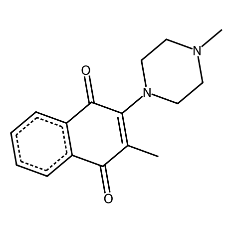 CC1=C(N2CCN(C)CC2)C(=O)c2ccccc2C1=O